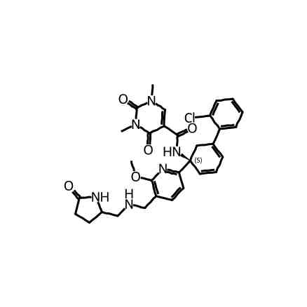 COc1nc([C@@]2(NC(=O)c3cn(C)c(=O)n(C)c3=O)C=CC=C(c3ccccc3Cl)C2)ccc1CNCC1CCC(=O)N1